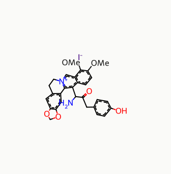 COc1ccc2c(C(N)C(=O)Cc3ccc(O)cc3)c3[n+](cc2c1OC)CCc1cc2c(cc1-3)OCO2.[I-]